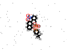 Cc1cccc([N+](=O)[O-])c1-c1ccc2ccccc2c1O[PH](=O)Oc1ccc(C(C)(C)C)cc1